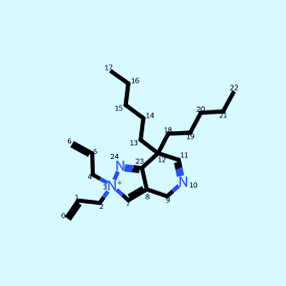 C=CC[N+]1(CC=C)C=C2CN=CC(CCCCC)(CCCCC)C2=N1